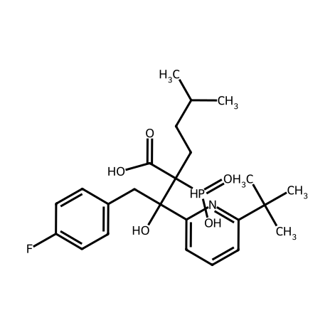 CC(C)CCC(C(=O)O)([PH](=O)O)C(O)(Cc1ccc(F)cc1)c1cccc(C(C)(C)C)n1